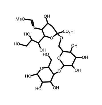 COC=NC1C(O)CC(OCC2OC(OC3C(CO)OC(O)C(O)C3O)C(O)C(O)C2O)(C(=O)O)OC1C(O)C(O)CO